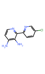 Nc1ccnc(-c2ccc(Cl)cn2)c1N